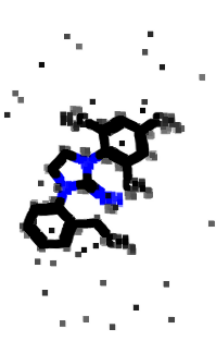 CCc1ccccc1N1CCN(c2c(C)cc(C)cc2C)C1=N